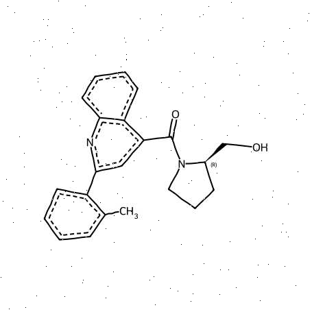 Cc1ccccc1-c1cc(C(=O)N2CCC[C@@H]2CO)c2ccccc2n1